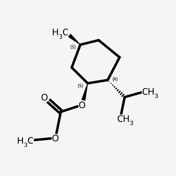 COC(=O)O[C@H]1C[C@@H](C)CC[C@@H]1C(C)C